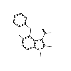 Cc1c(C(N)=O)c2c(Cc3ccccc3)c(O)ccc2n1C